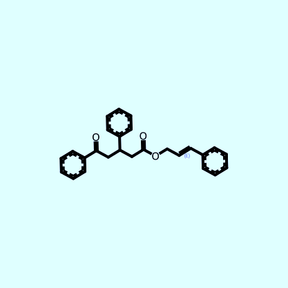 O=C(CC(CC(=O)c1ccccc1)c1ccccc1)OC/C=C/c1ccccc1